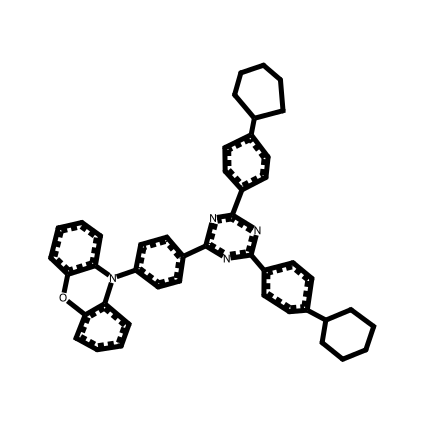 c1ccc2c(c1)Oc1ccccc1N2c1ccc(-c2nc(-c3ccc(C4CCCCC4)cc3)nc(-c3ccc(C4CCCCC4)cc3)n2)cc1